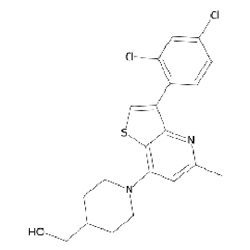 Cc1cc(N2CCC(CO)CC2)c2scc(-c3ccc(Cl)cc3Cl)c2n1